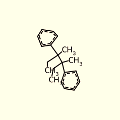 CCC(C)(c1ccccc1)C(C)(CC)c1ccccc1